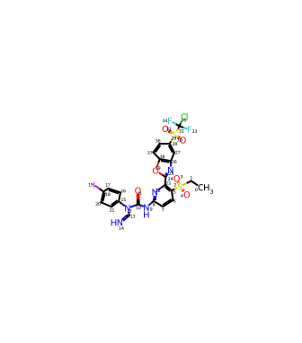 CCS(=O)(=O)c1ccc(NC(=O)N(C=N)c2ccc(I)cc2)nc1-c1nc2cc(S(=O)(=O)C(F)(F)Cl)ccc2o1